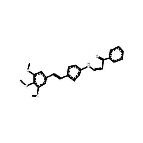 COc1cc(C=Cc2ccc(N/C=C\C(=O)c3ccccc3)cc2)cc(OC)c1OC